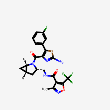 Cc1noc(C(F)(F)F)c1C(=O)NC[C@@H]1C[C@@H]2C[C@@H]2N1C(=O)c1nc(N)sc1-c1cccc(F)c1